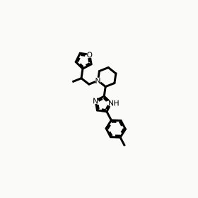 Cc1ccc(-c2cnc(C3CCCCN3CC(C)c3ccoc3)[nH]2)cc1